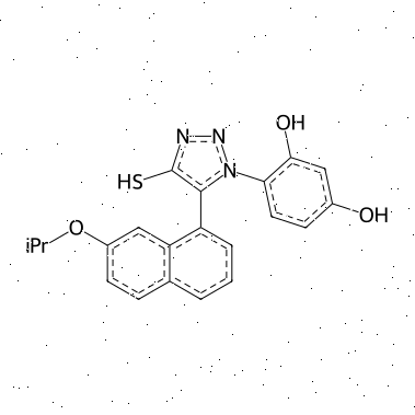 CC(C)Oc1ccc2cccc(-c3c(S)nnn3-c3ccc(O)cc3O)c2c1